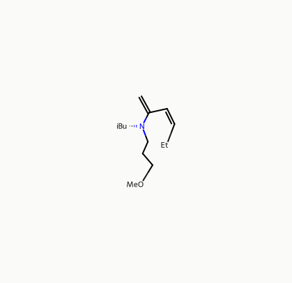 C=C(/C=C\CC)N(CCCOC)[C@@H](C)CC